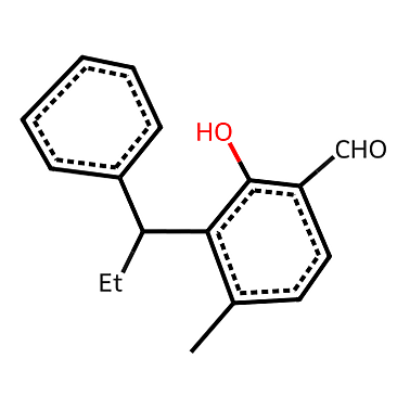 CCC(c1ccccc1)c1c(C)ccc(C=O)c1O